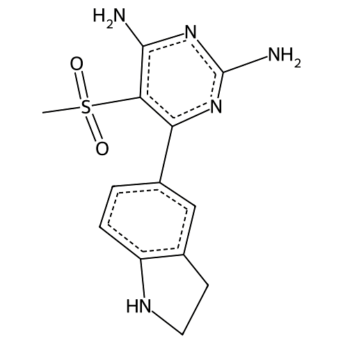 CS(=O)(=O)c1c(N)nc(N)nc1-c1ccc2c(c1)CCN2